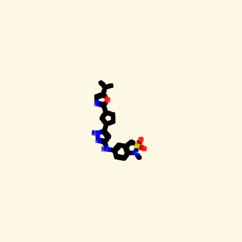 CC(C)c1cnc(C2CCC(c3cc(Nc4ccc5c(c4)CS(=O)(=O)N5C)n[nH]3)C2)o1